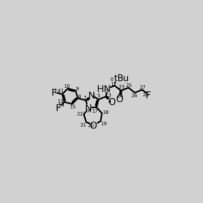 CC(C)(C)[C@H](NC(=O)c1nc(-c2ccc(F)c(F)c2)n2c1CCOCC2)C(=O)CCCF